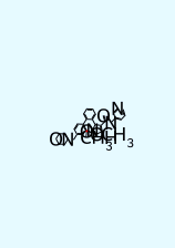 CON1OC(C)=C(C(=O)Nc2cccnc2)C1c1ccccc1-c1ccc(CN2CCOCC2)cc1